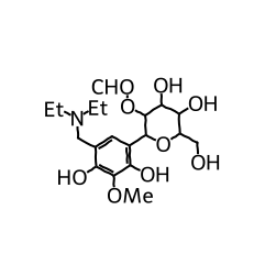 CCN(CC)Cc1cc(C2OC(CO)C(O)C(O)C2OC=O)c(O)c(OC)c1O